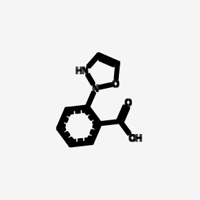 O=C(O)c1ccccc1N1NC=CO1